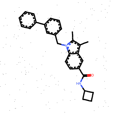 Cc1c(C)n(Cc2cccc(-c3ccccc3)c2)c2ccc(C(=O)NC3CCC3)cc12